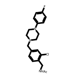 CC(=O)NCc1ccc(CN2CCN(c3ccc(F)cc3)CC2)cc1Cl